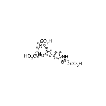 O=C(O)CCC(=O)Nc1ccc(CCN2CCN(CC(=O)O)CCN(CC(=O)O)CC2)cc1